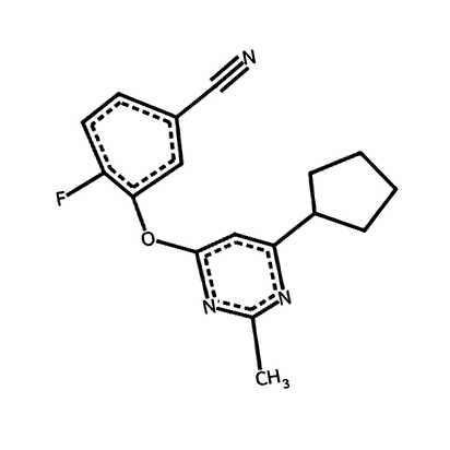 Cc1nc(Oc2cc(C#N)ccc2F)cc(C2CCCC2)n1